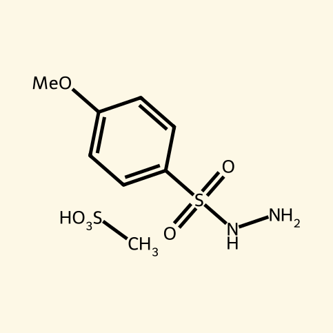 COc1ccc(S(=O)(=O)NN)cc1.CS(=O)(=O)O